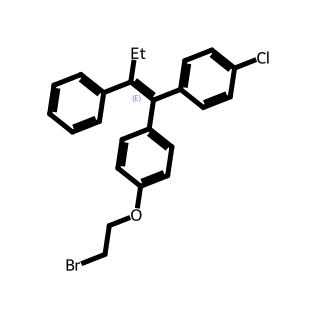 CC/C(=C(\c1ccc(Cl)cc1)c1ccc(OCCBr)cc1)c1ccccc1